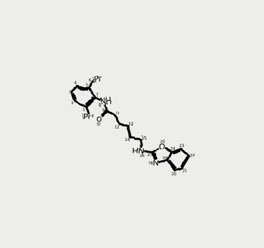 CC(C)c1cccc(C(C)C)c1NC(=O)CCCCCNc1nc2ccccc2o1